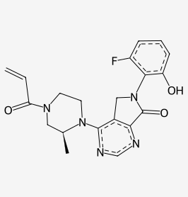 C=CC(=O)N1CCN(c2ncnc3c2CN(c2c(O)cccc2F)C3=O)[C@@H](C)C1